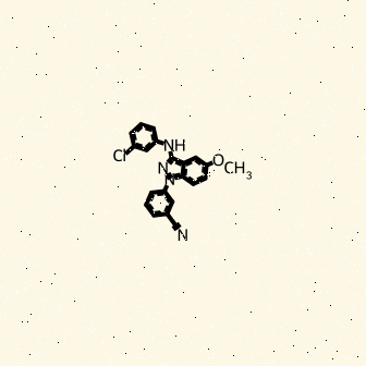 COc1ccc2c(c1)c(Nc1cccc(Cl)c1)nn2-c1cccc(C#N)c1